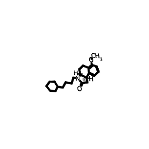 COc1cccc2c1CC[C@@H]1[C@H]2CC(=O)N1CCCCC1CCCCC1